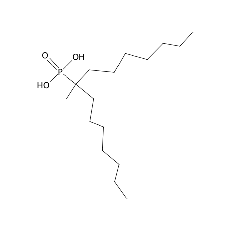 CCCCCCCC(C)(CCCCCCC)P(=O)(O)O